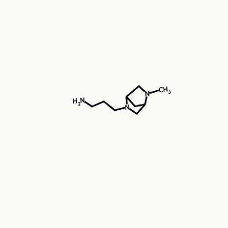 CN1CC2CC1CN2CCCN